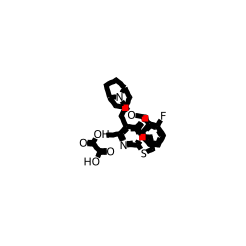 Cc1nc2n(c(=O)c1CCN1C3CCC1CC(OCc1ccccc1F)C3)CCS2.O=C(O)C(=O)O